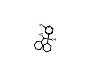 OC(C1CCCCC1)C(O)(c1cccc(S)c1)C1CCCCC1